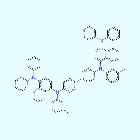 Cc1cccc(N(c2ccc(-c3ccc(N(c4cccc(C)c4)c4ccc(N(c5ccccc5)c5ccccc5)c5ccccc45)cc3)cc2)c2ccc(N(c3ccccc3)c3ccccc3)c3ccccc23)c1